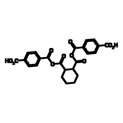 O=C(O)c1ccc(C(=O)OC(=O)C2CCCCC2C(=O)OC(=O)c2ccc(C(=O)O)cc2)cc1